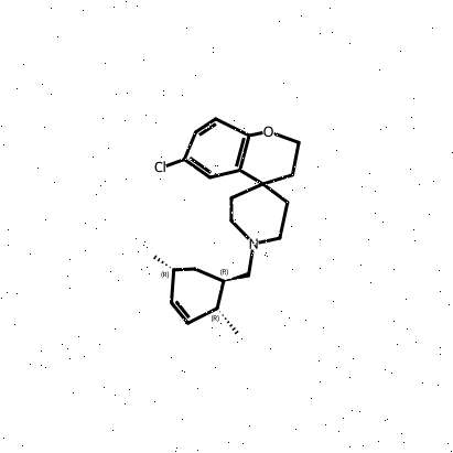 C[C@@H]1C=C[C@H](C)C[C@H]1CN1CCC2(CCOc3ccc(Cl)cc32)CC1